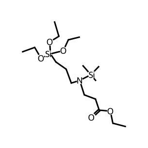 CCOC(=O)CCN(CCC[Si](OCC)(OCC)OCC)[Si](C)(C)C